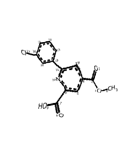 COC(=O)c1cc(C(=O)O)nc(-c2cccc(Cl)c2)c1